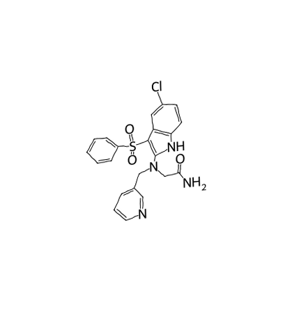 NC(=O)CN(Cc1cccnc1)c1[nH]c2ccc(Cl)cc2c1S(=O)(=O)c1ccccc1